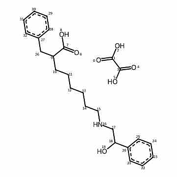 O=C(O)C(=O)O.O=C(O)C(CCCCCCNCC(O)c1ccccc1)Cc1ccccc1